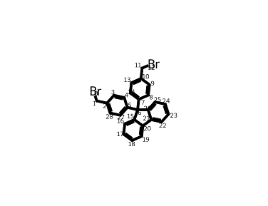 BrCc1ccc(C2(c3ccc(CBr)cc3)c3ccccc3-c3ccccc32)cc1